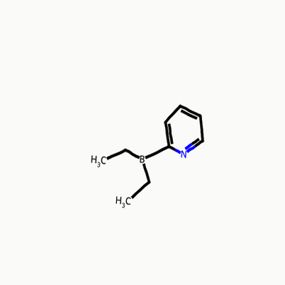 CCB(CC)c1ccccn1